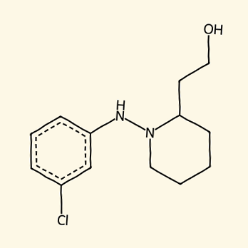 OCCC1CCCCN1Nc1cccc(Cl)c1